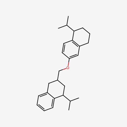 CC(C)C1CCCc2cc(OCC3Cc4ccccc4C(C(C)C)C3)ccc21